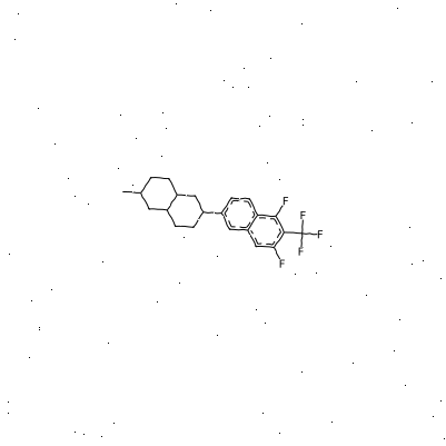 CC1CCC2CC(c3ccc4c(F)c(C(F)(F)F)c(F)cc4c3)CCC2C1